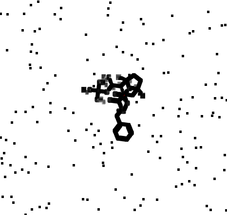 CC(C)(C)OC(=O)N1[C@@H]2CC[C@H]1[C@@H]([C@@H](O[Si](C)(C)C)C(F)(F)F)N(C(=O)OCc1ccccc1)C2